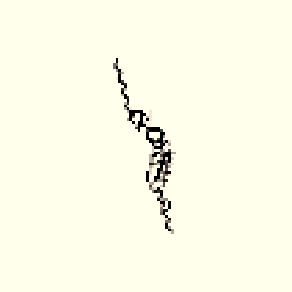 CCCCCCCCc1cnc(-c2ccc(OC(F)(F)C(F)(F)C(F)(F)C(F)(F)OCCOCCCC)cc2)nc1